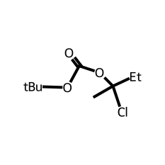 CCC(C)(Cl)OC(=O)OC(C)(C)C